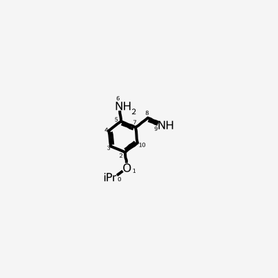 CC(C)Oc1ccc(N)c(C=N)c1